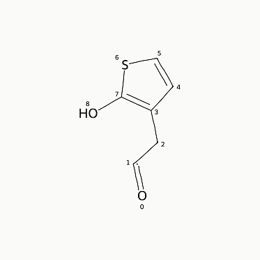 O=[C]Cc1ccsc1O